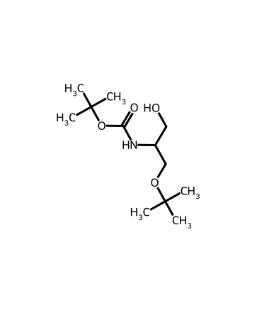 CC(C)(C)OCC(CO)NC(=O)OC(C)(C)C